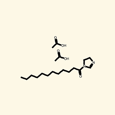 CC(=O)O.CC(=O)O.CCCCCCCCCCCC(=O)N1C=NCC1